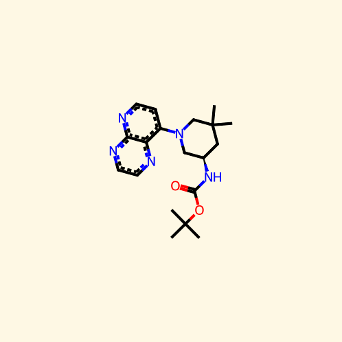 CC1(C)C[C@@H](NC(=O)OC(C)(C)C)CN(c2ccnc3nccnc23)C1